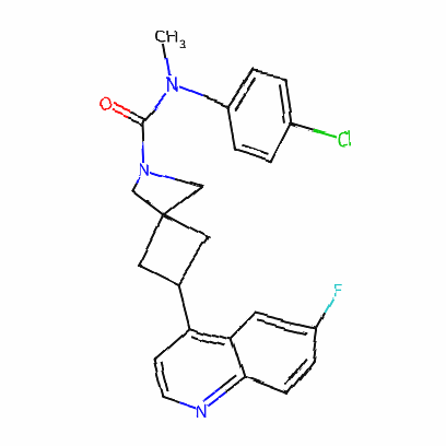 CN(C(=O)N1CC2(CC(c3ccnc4ccc(F)cc34)C2)C1)c1ccc(Cl)cc1